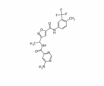 Cc1ccc(NC(=O)c2cc(C(C)NC(=O)c3cc(N)ncn3)no2)cc1C(F)(F)F